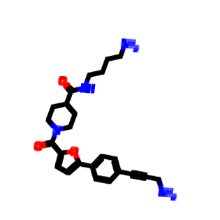 NCC#Cc1ccc(-c2ccc(C(=O)N3CCC(C(=O)NCCCCN)CC3)o2)cc1